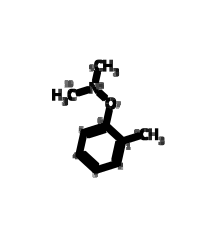 Cc1ccccc1ON(C)C